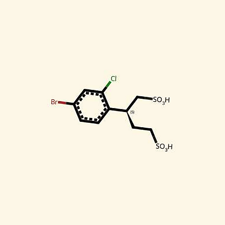 O=S(=O)(O)CC[C@H](CS(=O)(=O)O)c1ccc(Br)cc1Cl